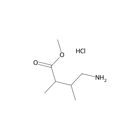 COC(=O)C(C)C(C)CN.Cl